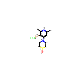 Cc1cc(N2CC[S+]([O-])CC2)c(Br)c(C)n1.Cl